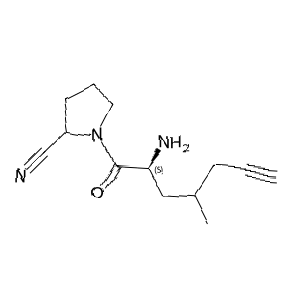 C#CCC(C)C[C@H](N)C(=O)N1CCCC1C#N